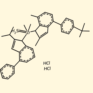 CC1=Cc2c(-c3ccc(C(C)(C)C)cc3)ccc(C)c2[CH]1[Zr]([CH3])([CH3])(=[SiH2])[CH]1C(C(C)C)=Cc2c(-c3ccccc3)cccc21.Cl.Cl